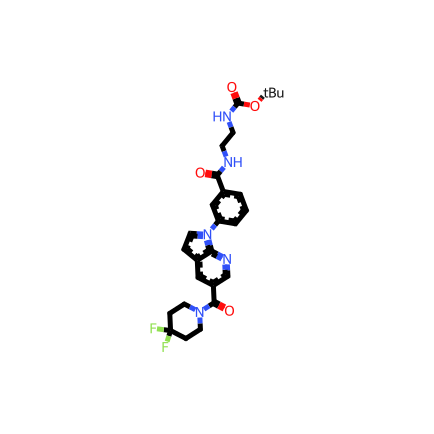 CC(C)(C)OC(=O)NCCNC(=O)c1cccc(-n2ccc3cc(C(=O)N4CCC(F)(F)CC4)cnc32)c1